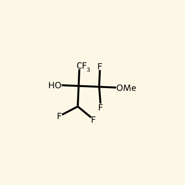 COC(F)(F)C(O)(C(F)F)C(F)(F)F